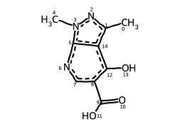 Cc1nn(C)c2ncc(C(=O)O)c(O)c12